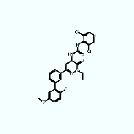 CCN1N=C(c2cccc(-c3cc(OC)ccc3F)c2)CC(NC(=O)Nc2c(Cl)cncc2Cl)C1=O